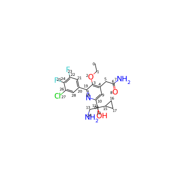 CCOc1c(CC(N)=O)cc([C@@](O)(CN)C2CC2)nc1-c1cc(F)c(F)c(Cl)c1